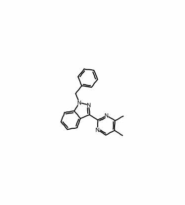 Cc1cnc(-c2nn(Cc3ccccc3)c3ccccc23)nc1C